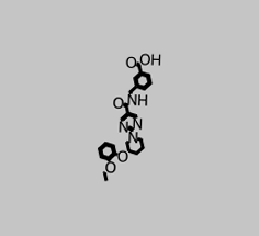 CCOc1ccccc1OC1CCCN(c2ncc(C(=O)NCc3cccc(C(=O)O)c3)cn2)C1